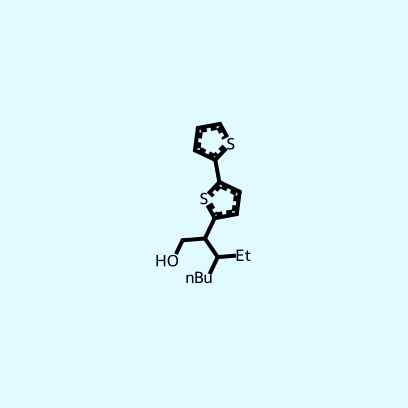 CCCCC(CC)C(CO)c1ccc(-c2cccs2)s1